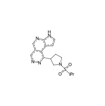 CC(C)S(=O)(=O)N1CCC(c2nncc3cnc4[nH]ccc4c23)C1